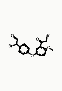 COc1ccc(Oc2ccc(C(Br)C=O)cc2)cc1C(=O)CBr